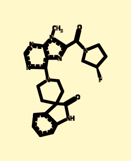 Cn1c(C(=O)N2CC[C@@H](F)C2)nc2c(N3CCC4(CC3)C(=O)Nc3ccccc34)ncnc21